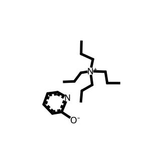 CCC[N+](CCC)(CCC)CCC.[O-]c1ccccn1